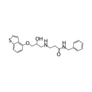 O=C(CCNCC(O)COc1cccc2sccc12)NCc1ccccc1